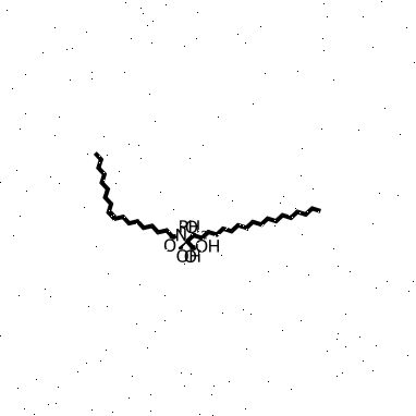 CCCCCCCC/C=C\CCCCCCCC(=O)N(P)[C@@](CO)(C(=O)O)C(=O)CCCCCCCCCCCCCCCCC